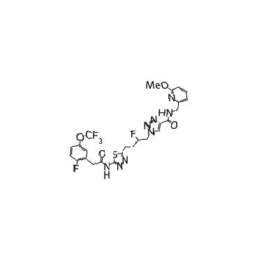 COc1cccc(CNC(=O)c2cn(CC(F)CCc3nnc(NC(=O)Cc4cc(OC(F)(F)F)ccc4F)s3)nn2)n1